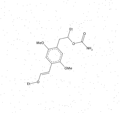 CCOC=Cc1cc(OC)c(CC(CC)OC(N)=O)cc1OC